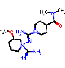 COC1CCC[N+](N=C(N)[N+]2CCC(C(=O)N(C)C)CC2)(C(=N)N)C1